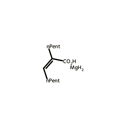 CCCCCC=C(CCCCC)C(=O)O.[MgH2]